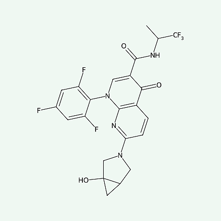 CC(NC(=O)c1cn(-c2c(F)cc(F)cc2F)c2nc(N3CC4CC4(O)C3)ccc2c1=O)C(F)(F)F